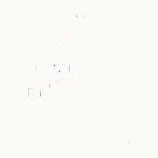 CC(C)(C)OC(=O)[C@@]1(NS(=O)(=O)c2ccc(-c3ccc(Cl)cc3)s2)C[C@@]1(COC1CCCCO1)c1ccccc1